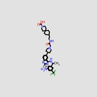 Cc1nc(NC(C)c2cc(N)cc(C(F)(F)F)c2)c2cc(C3CCN(CC(=O)NCCC4CCC5(CC4)CCN(C(=O)O)CC5)CC3)ccc2n1